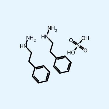 NNCCc1ccccc1.NNCCc1ccccc1.O=S(=O)(O)O